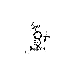 CC(C)(Cc1ccc(S(C)(=O)=O)cc1C(F)(F)F)NC(=O)O